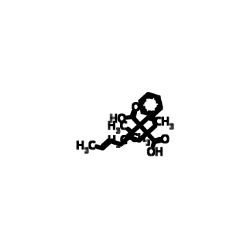 CC=CCCCC(Cc1ccccc1)(C(=O)O)C(CC)(C(=O)O)C(C)(C)C